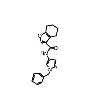 O=C(Nc1cnn(Cc2ccccc2)c1)c1noc2c1CCCC2